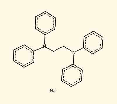 [Na].c1ccc(N(CCN(c2ccccc2)c2ccccc2)c2ccccc2)cc1